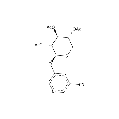 CC(=O)O[C@@H]1[C@@H](OC(C)=O)[C@H](OC(C)=O)CS[C@H]1Oc1cncc(C#N)c1